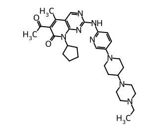 CCN1CCN(C2CCN(c3ccc(Nc4ncc5c(C)c(C(C)=O)c(=O)n(C6CCCC6)c5n4)nc3)CC2)CC1